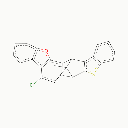 CC1(C)C2c3cc(Cl)c4c(oc5ccccc54)c3C1c1c2sc2ccccc12